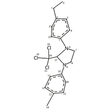 CCc1ccc(N2CCN(c3ccc(C)cc3)C2C(Cl)(Cl)Cl)cc1